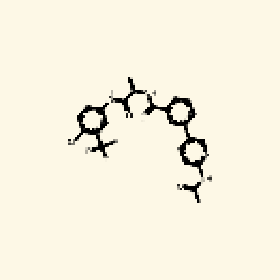 CC(=O)Nc1ccc(-c2cccc(C(=O)NC(C)C(=O)Nc3ccc(Cl)c(C(F)(F)F)c3)c2)cn1